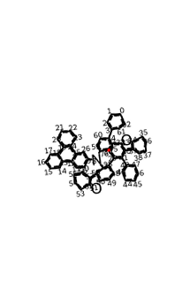 c1ccc(-c2ccc(N(c3ccc4c5ccccc5c5ccccc5c4c3)c3c(-c4ccc5oc6ccccc6c5c4-c4ccccc4)ccc4oc5ccccc5c34)cc2)cc1